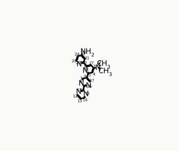 CN(C)c1cc(-c2cnc(-c3ncccn3)nc2)nc(-c2cc(N)ccn2)c1